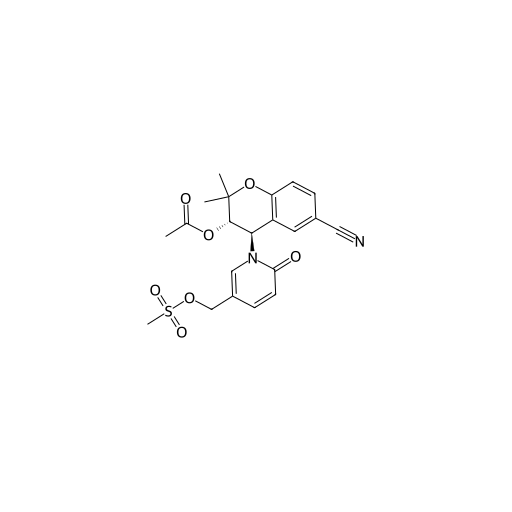 CC(=O)O[C@H]1[C@H](n2cc(COS(C)(=O)=O)ccc2=O)c2cc(C#N)ccc2OC1(C)C